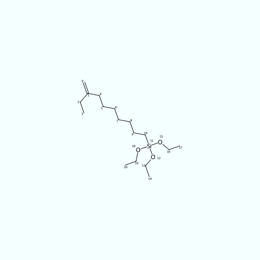 C=C(CC)CCCCCCC[Si](OCC)(OCC)OCC